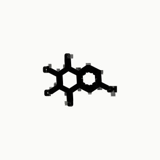 O=C1C(Cl)=C(Cl)C(=O)c2cc(O)ccc21